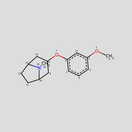 COc1cccc(OC2CC3CCC(C2)N3C)c1